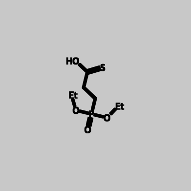 CCOP(=O)(CCC(O)=S)OCC